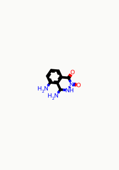 Nc1cccc2c1C(N)N[N+](=O)C2=O